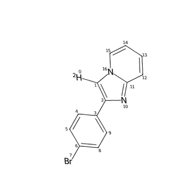 [2H]c1c(-c2ccc(Br)cc2)nc2ccccn12